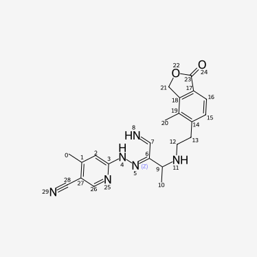 Cc1cc(N/N=C(\C=N)C(C)NCCc2ccc3c(c2C)COC3=O)ncc1C#N